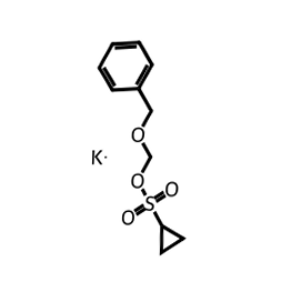 O=S(=O)(OCOCc1ccccc1)C1CC1.[K]